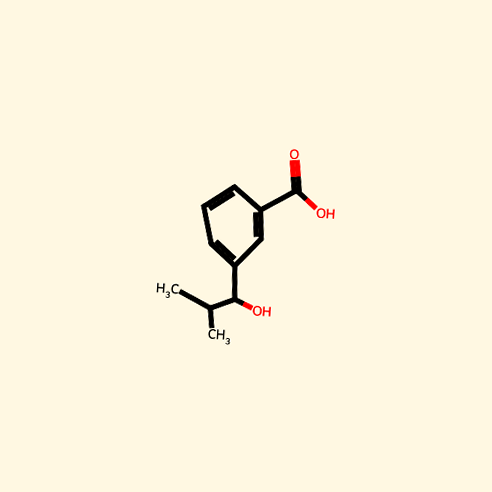 CC(C)C(O)c1cccc(C(=O)O)c1